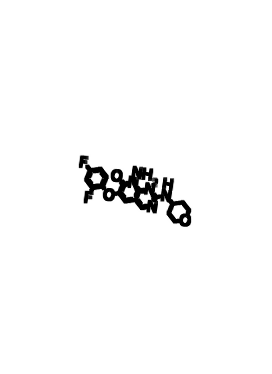 Nn1c(=O)c(Oc2ccc(F)cc2F)cc2cnc(NC3CCOCC3)nc21